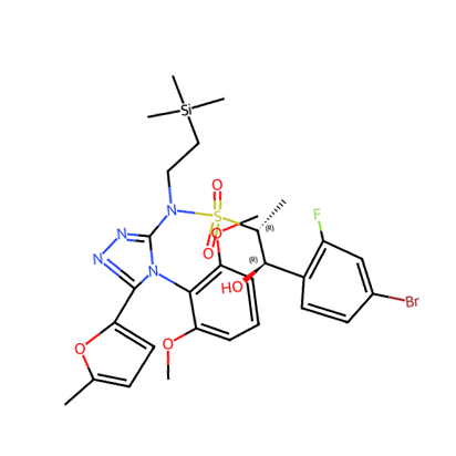 COc1cccc(OC)c1-n1c(-c2ccc(C)o2)nnc1N(CC[Si](C)(C)C)S(=O)(=O)[C@H](C)[C@H](O)c1ccc(Br)cc1F